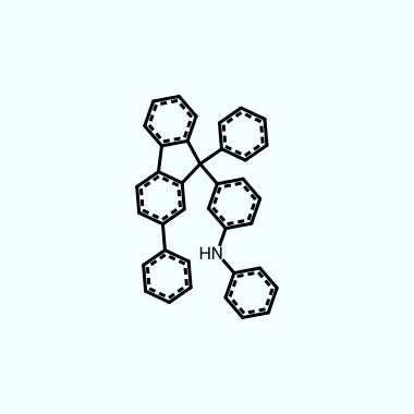 c1ccc(Nc2cccc(C3(c4ccccc4)c4ccccc4-c4ccc(-c5ccccc5)cc43)c2)cc1